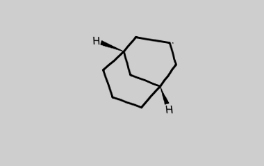 [CH]1C[C@@H]2CCC[C@H](C1)C2